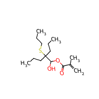 C=C(C)C(=O)OC(O)C(CCC)(CCC)SCCC